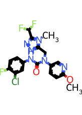 COc1ccc(N(Cc2nnc(C(F)F)n2C)C(=O)Nc2ccc(F)c(Cl)c2)cn1